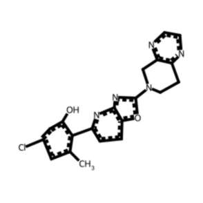 Cc1cc(Cl)cc(O)c1-c1ccc2oc(N3CCc4nccnc4C3)nc2n1